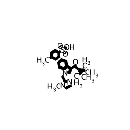 Cc1ccc(S(=O)(=O)O)cc1.Cn1ccnc1Cn1cc(C(=O)C2C(C)(C)C2(C)C)c2ccccc21